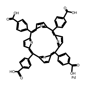 O=C(O)c1ccc(C2=C3C=CC(=N3)C(c3ccc(C(=O)O)cc3)=C3C=CC(=N3)C(c3ccc(C(=O)O)cc3)=C3C=CC(=N3)C(c3ccc(C(=O)O)cc3)=C3C=CC2=N3)cc1.[Pd]